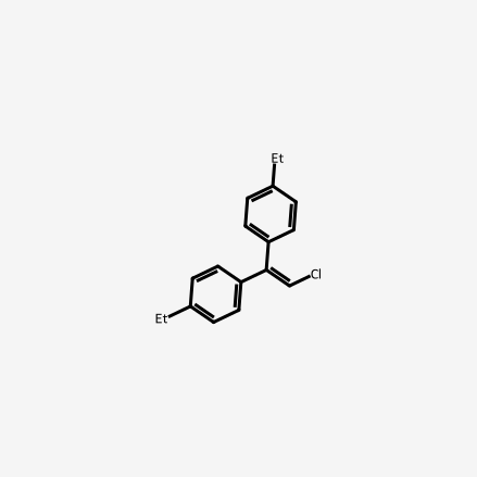 CCc1ccc(C(=CCl)c2ccc(CC)cc2)cc1